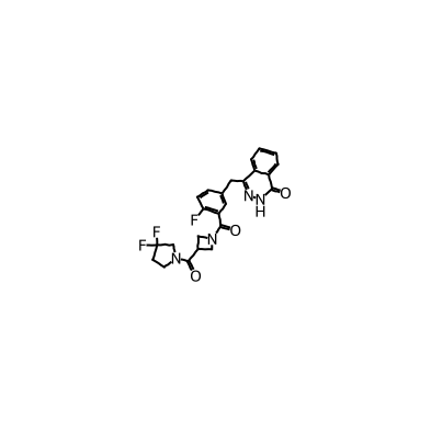 O=C(c1cc(Cc2n[nH]c(=O)c3ccccc23)ccc1F)N1CC(C(=O)N2CCC(F)(F)C2)C1